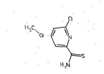 COc1cc(Cl)nc(C(N)=S)c1